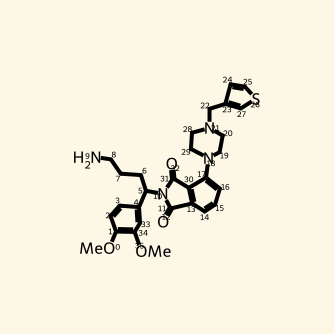 COc1ccc(C(CCCN)N2C(=O)c3cccc(N4CCN(Cc5ccsc5)CC4)c3C2=O)cc1OC